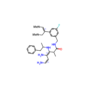 CN/C=C(\CNC)c1cc(F)cc(CNC(=O)C(C)/C(NC(C)Cc2ccccc2)=C(N)\C=C/N)c1